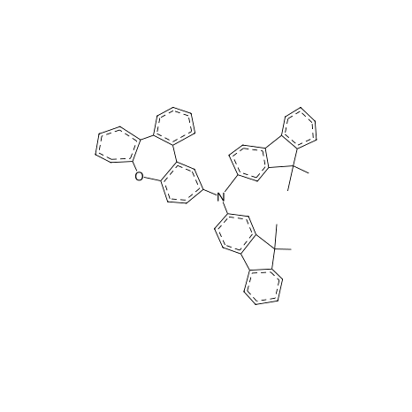 CC1(C)c2ccccc2-c2ccc(N(c3ccc4c(c3)-c3ccccc3-c3ccccc3O4)c3ccc4c(c3)C(C)(C)c3ccccc3-4)cc21